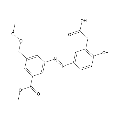 COOCc1cc(/N=N/c2ccc(O)c(CC(=O)O)c2)cc(C(=O)OC)c1